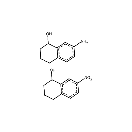 Nc1ccc2c(c1)C(O)CCC2.O=[N+]([O-])c1ccc2c(c1)C(O)CCC2